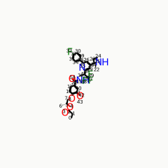 CCC(=O)O[C@H](C)COc1ccc(C(=O)NCC(c2cc([C@]3(C)CCN3)cc(-c3ccc(F)cc3)n2)C(F)(F)F)cc1OC